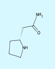 NC(=O)[CH][C@H]1CCCN1